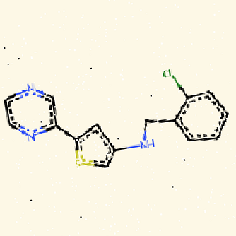 Clc1ccccc1CNc1csc(-c2cnccn2)c1